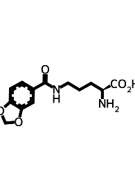 N[C@@H](CCCNC(=O)c1ccc2c(c1)OCO2)C(=O)O